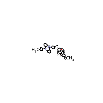 COc1ccc(C(c2ccc(Oc3ccc(/C4=N/c5ccccc5/C(c5ccc(C)cc5)=N\c5ccccc54)cc3)cc2)(C(F)(F)F)C(F)(F)F)cc1